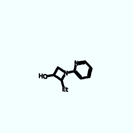 CCC1C(O)CN1c1ccccn1